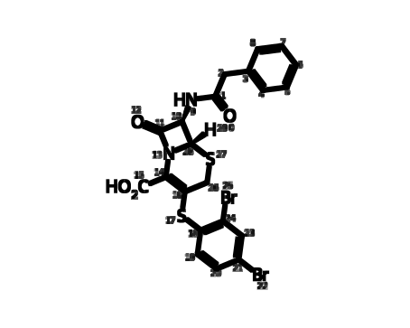 O=C(Cc1ccccc1)N[C@@H]1C(=O)N2C(C(=O)O)=C(Sc3ccc(Br)cc3Br)CS[C@@H]12